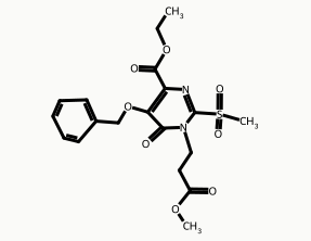 CCOC(=O)c1nc(S(C)(=O)=O)n(CCC(=O)OC)c(=O)c1OCc1ccccc1